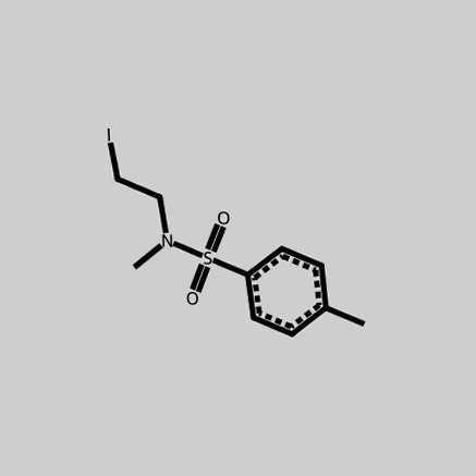 Cc1ccc(S(=O)(=O)N(C)CCI)cc1